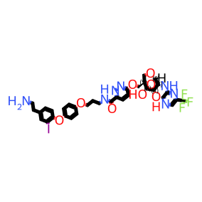 NCCc1ccc(Oc2ccc(OCCCNC(=O)c3ccc(OC[C@@]45CO[C@@H](O4)[C@H](Nc4cncc(C(F)(F)F)n4)[C@@H](O)[C@H]5O)nn3)cc2)c(I)c1